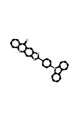 O=c1c2ccccc2sc2cc3nc(-c4ccc(-n5c6ccccc6c6ccccc65)cc4)oc3cc12